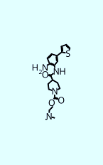 CN(C)CCOC(=O)N1CCC(C(=O)Nc2cc(-c3cccs3)ccc2N)CC1